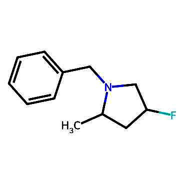 CC1CC(F)CN1Cc1ccccc1